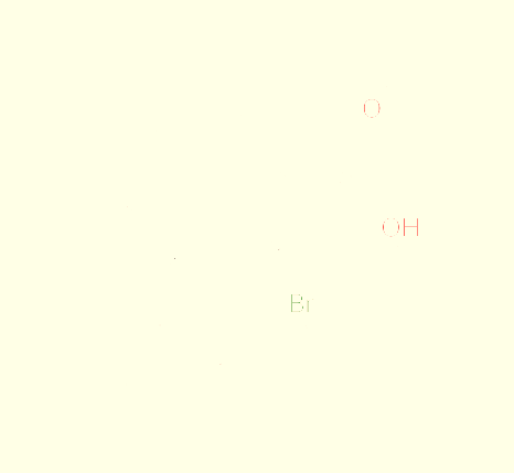 CC(C)(C)c1cccc(C(=O)O)c1Br